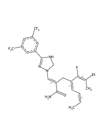 C\C=C/C=C(C/C(=C\N1CNC(c2cc(C(F)(F)F)cc(C(F)(F)F)c2)=N1)C(N)=O)\C(F)=C(/C)CC